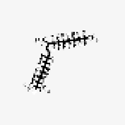 [CH2]C(CCC(F)(F)C(F)(F)C(F)(F)C(F)(F)C(F)(F)C(F)(F)C(F)(C(F)(F)F)C(F)(F)F)C(F)(F)C(F)(F)C(F)(F)C(F)(F)C(F)(F)C(F)(F)C(F)(F)C(F)(F)F